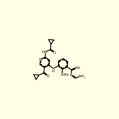 COc1c(Nc2cc(NC(=O)C3CC3)ncc2C(=O)C2CC2)cccc1C(=N)/N=C\N